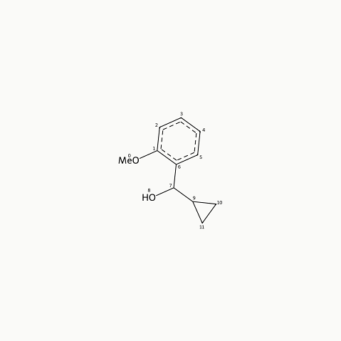 COc1ccccc1C(O)C1CC1